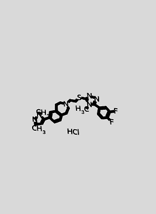 Cc1cc(-c2ccc3c(c2)CCN(CCSc2nnc(-c4ccc(F)c(F)c4)n2C)CC3)n(C)n1.Cl